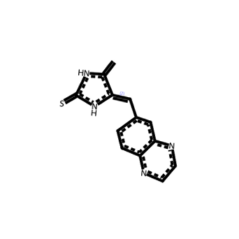 C=c1[nH]c(=S)[nH]/c1=C\c1ccc2nccnc2c1